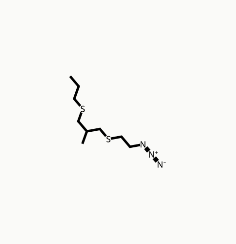 CCCSCC(C)CSCCN=[N+]=[N-]